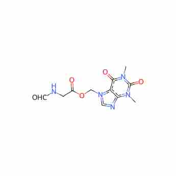 Cn1c(=O)c2c(ncn2COC(=O)CNC=O)n(C)c1=O